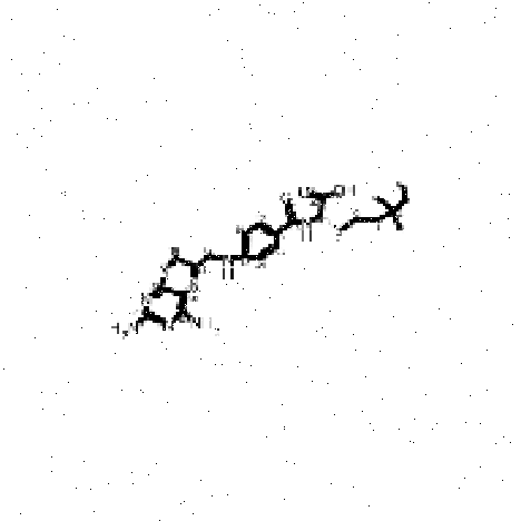 CCC(C)(C)CCC[C@H](NC(=O)c1ccc(NCc2cnc3nc(N)nc(N)c3n2)cc1)C(=O)O